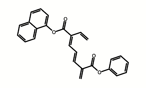 C=CC(=CC=CC(=C)C(=O)Oc1ccccc1)C(=O)Oc1cccc2ccccc12